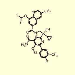 CCOc1c(C(N)=O)cc([C@@](O)(CNC(=O)c2cc(OC(F)F)c3ncc(C)cc3c2)C2CC2)nc1-c1ccc(F)c(C(F)(F)F)c1